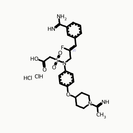 CC(=N)N1CCC(Oc2ccc(N(C/C(F)=C/c3cccc(C(=N)N)c3)S(=O)(=O)CC(=O)O)cc2)CC1.Cl.Cl